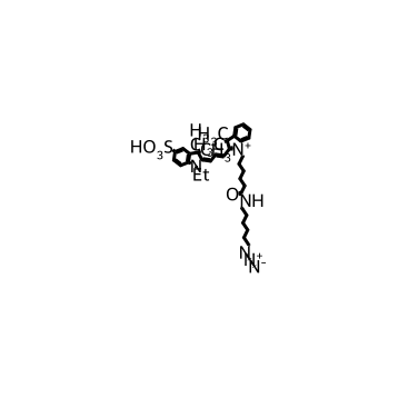 CCN1/C(=C/C=C/C2=[N+](CCCCCC(=O)NCCCCCCN=[N+]=[N-])c3ccccc3C2(C)C)C(C)(C)c2cc(S(=O)(=O)O)ccc21